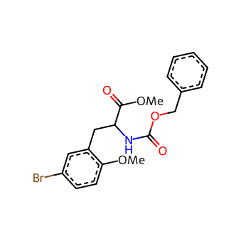 COC(=O)C(Cc1cc(Br)ccc1OC)NC(=O)OCc1ccccc1